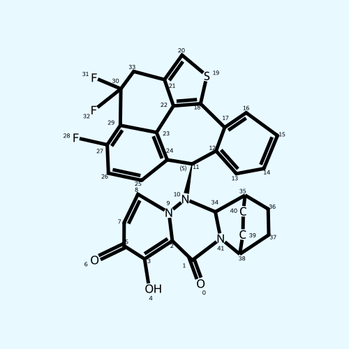 O=C1c2c(O)c(=O)ccn2N([C@@H]2c3ccccc3-c3scc4c3-c3c2ccc(F)c3C(F)(F)C4)C2C3CCC(CC3)N12